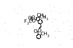 Cc1ccccc1C(=O)OC=Cc1ccc2c(c1)C(OS(=O)(=O)C(F)(F)F)=CC2(C)C